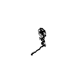 CCCCCCCCCCc1ccc(-c2ccc(OCC(CC)C[C@@](F)(C(=O)O)C3CCCCC3)c(F)c2)nc1